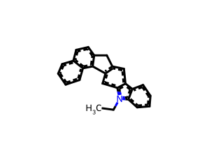 CCn1c2ccccc2c2cc3c(cc21)-c1c(ccc2ccccc12)C3